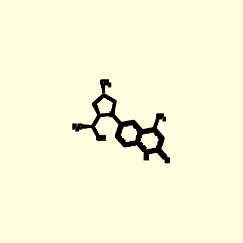 C[C@H]1C[C@H]([C@@H](O)C(F)(F)F)N(c2ccc3[nH]c(=O)cc(C(F)(F)F)c3c2)C1